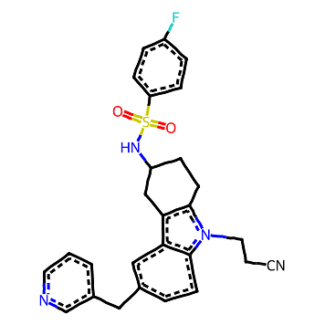 N#CCCn1c2c(c3cc(Cc4cccnc4)ccc31)CC(NS(=O)(=O)c1ccc(F)cc1)CC2